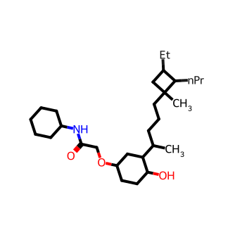 CCCC1C(CC)CC1(C)CCCC(C)C1CC(OCC(=O)NC2CCCCC2)CCC1O